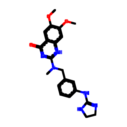 COc1cc2[nH]c(N(C)Cc3cccc(NC4=NCCN4)c3)nc(=O)c2cc1OC